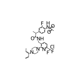 C=C/C(=C/C)N1CCN(c2nc(C(F)(F)Cl)ccc2CNC(=O)C(C)c2ccc(NS(C)(=O)=O)c(F)c2)CC1